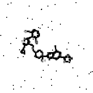 Cc1cc(-c2nnn[nH]2)cc2sc(C3(O)CCC(OCc4c(-c5c(Cl)cccc5Cl)noc4C4CC4)CC3)nc12